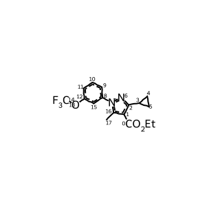 CCOC(=O)c1c(C2CC2)nn(-c2cccc(OC(F)(F)F)c2)c1C